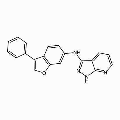 c1ccc(-c2coc3cc(Nc4n[nH]c5ncccc45)ccc23)cc1